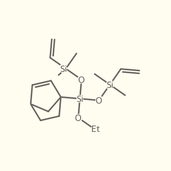 C=C[Si](C)(C)O[Si](OCC)(O[Si](C)(C)C=C)C12C=CC(CC1)C2